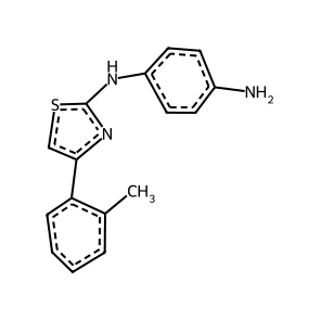 Cc1ccccc1-c1csc(Nc2ccc(N)cc2)n1